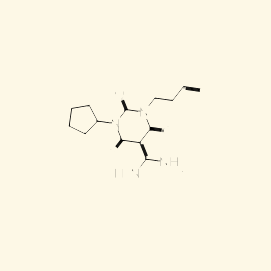 C=CCCN1C(=O)C(=C(N)N)C(=O)N(C2CCCC2)C1=O